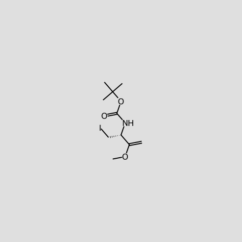 C=C(OC)[C@H](CI)NC(=O)OC(C)(C)C